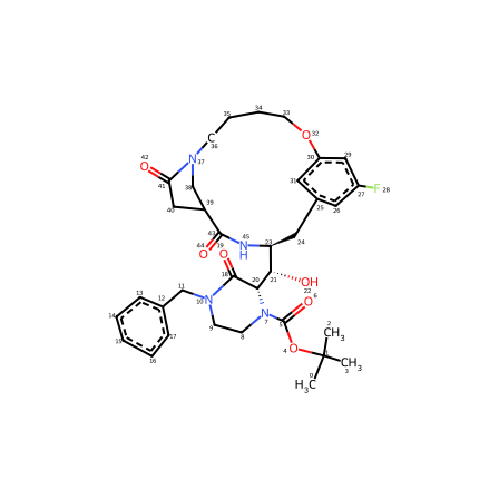 CC(C)(C)OC(=O)N1CCN(Cc2ccccc2)C(=O)[C@@H]1[C@@H](O)[C@@H]1Cc2cc(F)cc(c2)OCCCCN2CC(CC2=O)C(=O)N1